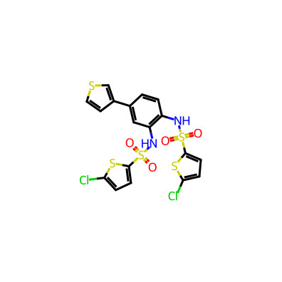 O=S(=O)(Nc1ccc(-c2ccsc2)cc1NS(=O)(=O)c1ccc(Cl)s1)c1ccc(Cl)s1